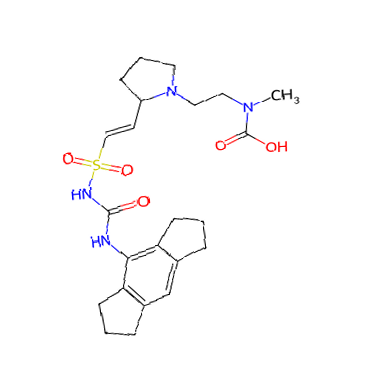 CN(CCN1CCCC1C=CS(=O)(=O)NC(=O)Nc1c2c(cc3c1CCC3)CCC2)C(=O)O